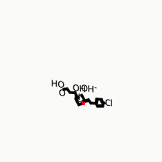 O=C(O)CCC(O)[N+]12CCC(CC1)C(=CCc1ccc(Cl)cc1)C2.[OH-]